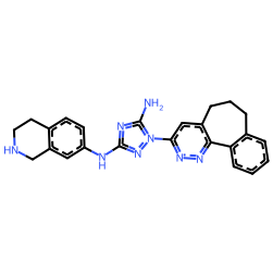 Nc1nc(Nc2ccc3c(c2)CNCC3)nn1-c1cc2c(nn1)-c1ccccc1CCC2